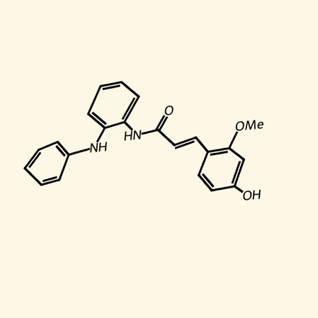 COc1cc(O)ccc1C=CC(=O)Nc1ccccc1Nc1ccccc1